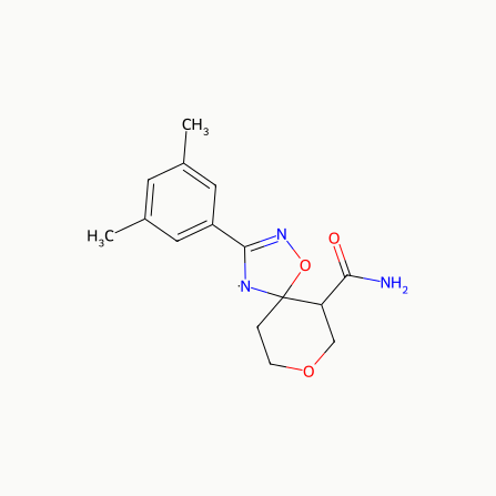 Cc1cc(C)cc(C2=NOC3(CCOCC3C(N)=O)[N]2)c1